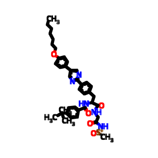 CCCCCCCOc1ccc(-c2cnc(-c3ccc(CC(NC(=O)c4ccc(C(C)(C)C)cc4)C(=O)NCC(=O)N[S+](C)[O-])cc3)nc2)cc1